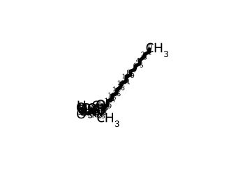 CCCCCCCCCCCCCCCCCCCCC(C[N+](C)(C)CC(O)CS(=O)(=O)[O-])OC